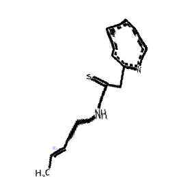 C/C=C/CNC(=S)Cc1ccccn1